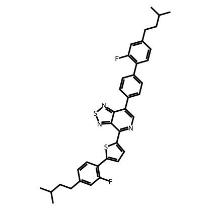 CC(C)CCc1ccc(-c2ccc(-c3cnc(-c4ccc(-c5ccc(CCC(C)C)cc5F)s4)c4nsnc34)cc2)c(F)c1